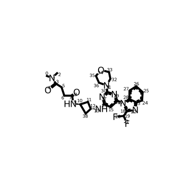 CN(C)C(=O)CCC(=O)N[C@H]1C[C@H](Nc2cc(-n3c(C(F)F)nc4ccccc43)nc(N3CCOCC3)n2)C1